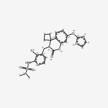 CN(C)S(=O)(=O)Nc1nccc(CN2C(=O)Oc3cc(Oc4ncco4)ccc3C23CCC3)c1F